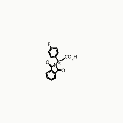 O=C(O)C[C@H](c1ccc(F)cc1)N1C(=O)c2ccccc2C1=O